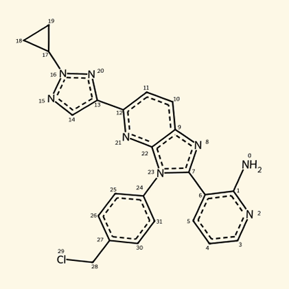 Nc1ncccc1-c1nc2ccc(-c3cnn(C4CC4)n3)nc2n1-c1ccc(CCl)cc1